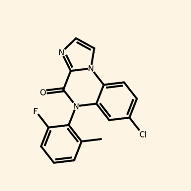 Cc1cccc(F)c1-n1c(=O)c2nccn2c2ccc(Cl)cc21